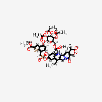 CCc1c2c(nc3ccc(OS(=O)(=O)Cc4ccc(O[C@@H]5O[C@H](COC(C)=O)[C@H](OC(C)=O)[C@H](OC(C)=O)[C@H]5OC(C)=O)c5cc(C(=O)OC)sc45)cc13)-c1cc3c(c(=O)n1C2)COC(=O)C3C